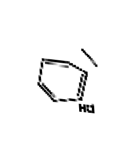 CC.Cl.c1ccccc1